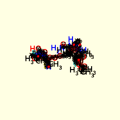 C/C(=C\C(=O)N[C@H]1CCc2cccc3c2N(C1=O)[C@H](C(=O)N[C@@H](CCC(N)=O)[C@@H](C)OCc1ccc(CCCOCCOCCOc2cc(-c4scnc4C)ccc2CNC(=O)[C@@H]2C[C@@H](O)CN2C(=O)[C@@H](NC(=O)C2(F)CC2)C(C)(C)C)cc1)C3)c1ccc(C(F)(F)P(=O)(OCOC(=O)C(C)(C)C)OCOC(=O)C(C)(C)C)cc1